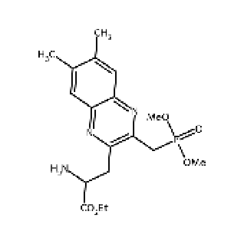 CCOC(=O)C(N)Cc1nc2cc(C)c(C)cc2nc1CP(=O)(OC)OC